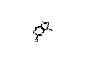 Cn1nnc2cnc(Cl)nc21